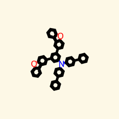 c1ccc(-c2ccc(N(c3ccc(-c4ccccc4)cc3)c3cc(-c4ccc5oc6ccccc6c5c4)cc(-c4ccc5oc6ccccc6c5c4)c3)cc2)cc1